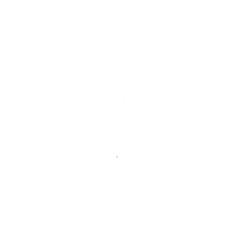 COC(=O)OC1CN(CCCOCCc2ccc3sccc3c2)C1